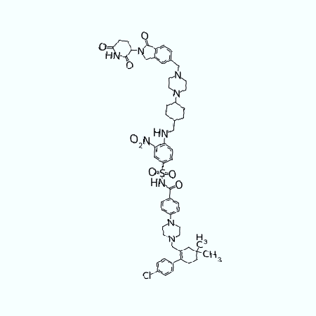 CC1(C)CCC(c2ccc(Cl)cc2)=C(CN2CCN(c3ccc(C(=O)NS(=O)(=O)c4ccc(NCC5CCC(N6CCN(Cc7ccc8c(c7)CN(C7CCC(=O)NC7=O)C8=O)CC6)CC5)c([N+](=O)[O-])c4)cc3)CC2)C1